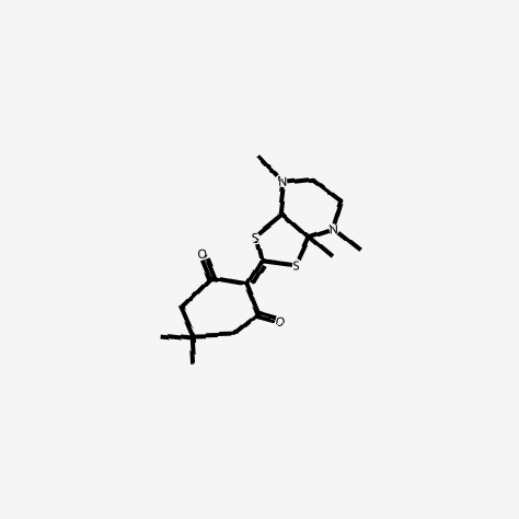 CN1CCN(C)C2(C)SC(=C3C(=O)CC(C)(C)CC3=O)SC12